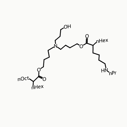 CCCCCCCCC(CCCCCC)C(=O)OCCCCN(CCCO)CCCCOC(=O)C(CCCCCC)CCCCNCCC